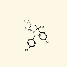 CC(C)CC(C)(C)c1cccc[n+]1Cc1ccc(O)cc1.[Cl-]